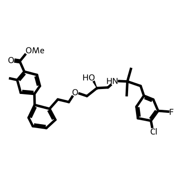 COC(=O)c1ccc(-c2ccccc2CCOC[C@@H](O)CNC(C)(C)Cc2ccc(Cl)c(F)c2)cc1C